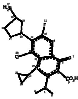 CN(C)c1c(C(=O)O)c(=O)c2cc(F)c(N3CCC(N)C3)c(Cl)c2n1C1CC1